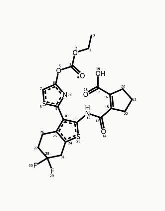 CCOC(=O)Oc1csc(-c2c(NC(=O)C3=C(C(=O)O)CCC3)sc3c2CCC(F)(F)C3)n1